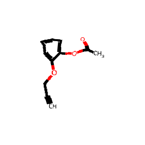 C#CCOc1ccccc1OC(C)=O